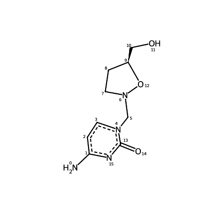 Nc1ccn(CN2CC[C@@H](CO)O2)c(=O)n1